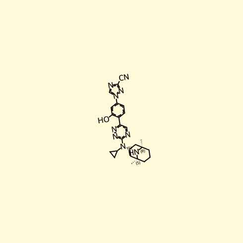 C[C@]12CCC[C@](C)(C[C@@H](N(c3ncc(-c4ccc(-n5cnc(C#N)n5)cc4O)nn3)C3CC3)C1)N2